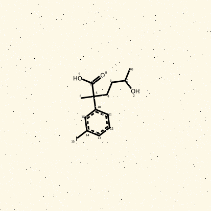 CC(O)CCC(C)(C(=O)O)c1cccc(I)c1